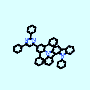 c1ccc(-c2cc(-c3cc(-c4ccccc4)c(-n4c5ccccc5c5c4ccc4c6ccccc6n(-c6ccccc6)c45)c(-c4ccccc4)c3)nc(-c3ccccc3)n2)cc1